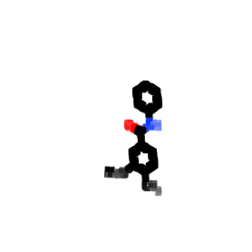 COc1cc(C(=O)Nc2ccccc2)ccc1C